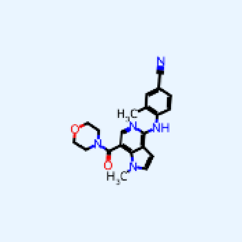 Cc1cc(C#N)ccc1Nc1ncc(C(=O)N2CCOCC2)c2c1ccn2C